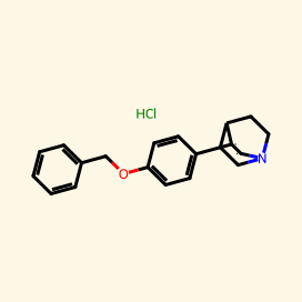 Cl.[CH]1[C](c2ccc(OCc3ccccc3)cc2)C2CCN1CC2